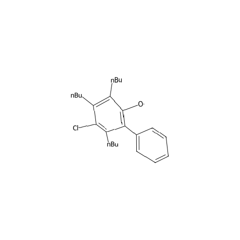 CCCCc1c([O])c(-c2ccccc2)c(CCCC)c(Cl)c1CCCC